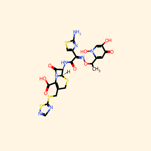 CC(O/N=C(\C(=O)N[C@@H]1C(=O)N2C(C(=O)O)=C(CSc3ncns3)CS[C@H]12)c1csc(N)n1)c1cc(=O)c(O)cn1O